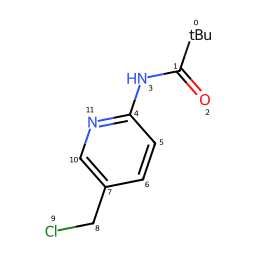 CC(C)(C)C(=O)Nc1ccc(CCl)cn1